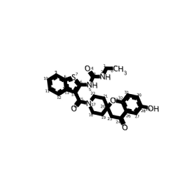 CCNC(=O)Nc1sc2ccccc2c1C(=O)N1CCC2(CC1)CC(=O)c1cc(O)ccc1O2